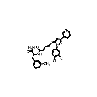 Cc1cccc(C[C@H](NC(=O)CCCOc2cc(-c3cccnc3)nn2-c2ccc(Cl)c(Cl)c2)C(N)=O)c1